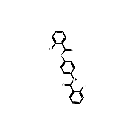 O=C(Nc1ccc(SC(=O)c2ccccc2Cl)cc1)c1ccccc1Cl